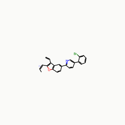 C=Cc1c(/C=C\C)oc2ccc(-c3ccc(-c4ccccc4Br)cn3)cc12